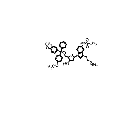 COc1ccc(C(OCC2OC(n3cc(CCCN)c4cc(NS(C)(=O)=O)ccc43)CC2O)(c2ccccc2)c2ccc(OC)cc2)cc1